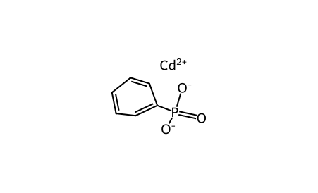 O=P([O-])([O-])c1ccccc1.[Cd+2]